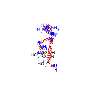 NC(=O)CN1CCN(CC(N)=O)CCN(CC(N)=O)C(Cc2ccc(NC(=S)NCCCCC(NC(=O)CCOCCOCCOCCn3cc(-c4cccc(NC(=O)NCCCCC(NC(=O)NC(CCC(=O)O)C(=O)O)C(=O)O)c4)nn3)C(=O)NCCOCCOCCOCCOCCOCCOCCOCCOCCC(=O)NC(CCCCNC(=O)CCCc3ccc(I)cc3)C(=O)O)cc2)CN(CC(N)=O)CC1